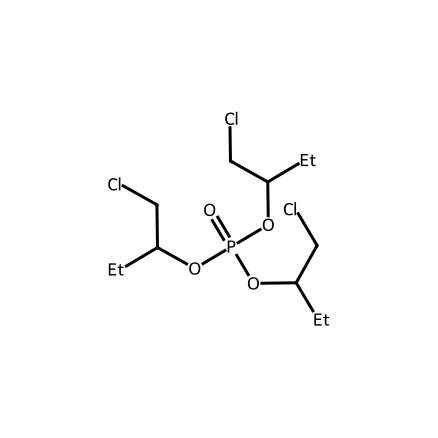 CCC(CCl)OP(=O)(OC(CC)CCl)OC(CC)CCl